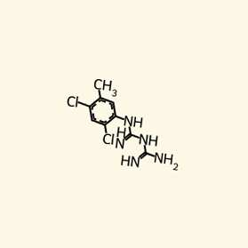 Cc1cc(NC(=N)NC(=N)N)c(Cl)cc1Cl